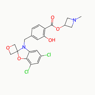 CN1CC(OC(=O)c2ccc(CN3c4cc(Cl)cc(Cl)c4OC34COC4)cc2O)C1